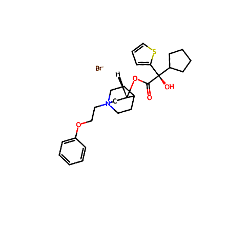 O=C(O[C@H]1C[N+]2(CCOc3ccccc3)CCC1CC2)[C@](O)(c1cccs1)C1CCCC1.[Br-]